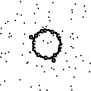 O=C1CCCCCCCCC(=O)OCCCCCCCCCCCCO1